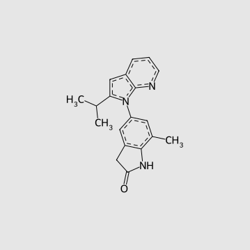 Cc1cc(-n2c(C(C)C)cc3cccnc32)cc2c1NC(=O)C2